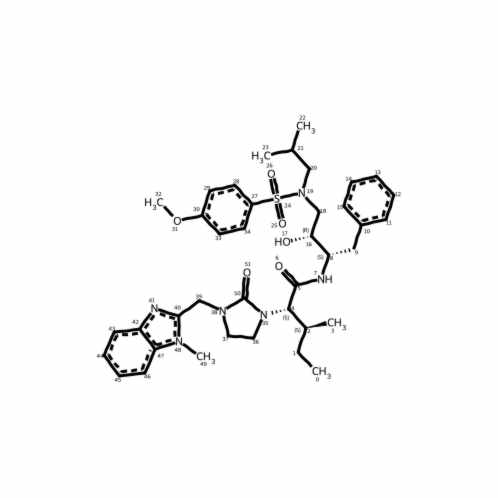 CC[C@H](C)[C@@H](C(=O)N[C@@H](Cc1ccccc1)[C@H](O)CN(CC(C)C)S(=O)(=O)c1ccc(OC)cc1)N1CCN(Cc2nc3ccccc3n2C)C1=O